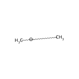 CCCCCCCCCCCCCCCCCCCCC[CH]OCCCCCCCC